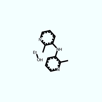 CCO.Cc1ncccc1Nc1cccnc1C